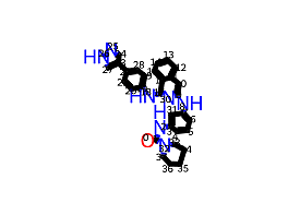 O=C(Nc1cccc(Nc2cc3ccccc3c(Nc3ccc(-c4cn[nH]c4)cc3)n2)c1)N1CCCCC1